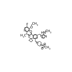 CCOc1cc([C@H](C)N2CC3(CCC3)c3c(CN4CCN(S(C)(=O)=O)CC4)cc(Cn4ccnc4NC)cc3C2=O)ncc1F